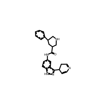 O=C(Nc1ccc2[nH]nc(C3C=CN=CC3)c2c1)C1CNCC(c2ccccc2)C1